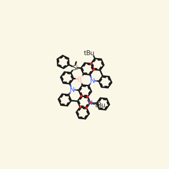 CC(C)(C)c1ccc(-c2ccccc2N2c3cc(N(c4ccccc4)c4ccccc4)cc4c3B3c5c2cccc5[Si](C)(c2ccccc2)c2cccc(c23)N4c2ccccc2-c2ccc(C(C)(C)C)cc2)cc1